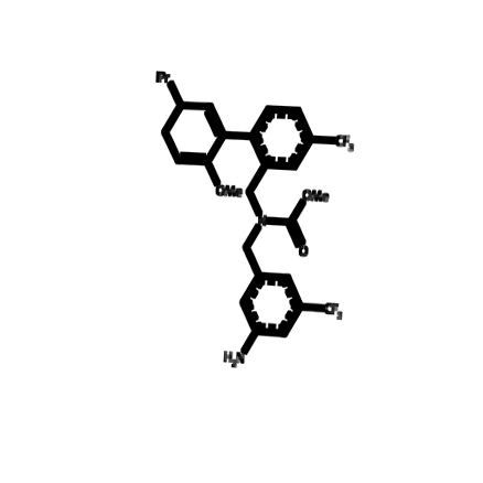 COC(=O)N(Cc1cc(N)cc(C(F)(F)F)c1)Cc1cc(C(F)(F)F)ccc1C1=CC(C(C)C)CC=C1OC